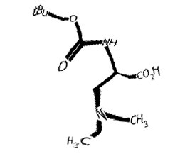 CN(C)C[C@@H](NC(=O)OC(C)(C)C)C(=O)O